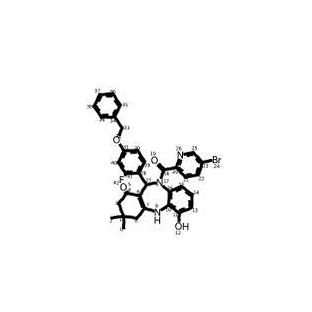 CC1(C)CC(=O)C2=C(C1)Nc1c(O)cccc1N(C(=O)c1ccc(Br)cn1)C2c1ccc(OCc2ccccc2)cc1F